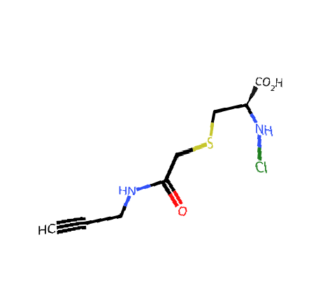 C#CCNC(=O)CSC[C@H](NCl)C(=O)O